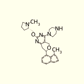 Cc1cccc2cccc(C3Cc4nc(OC[C@@H]5CCCN5C)nc(N5CCNCC5)c4CO3)c12